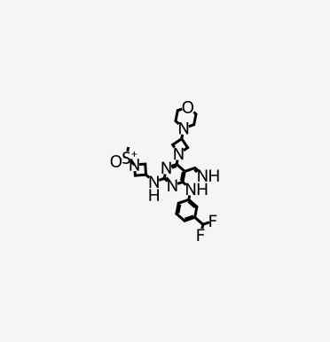 C[S+]([O-])N1CC(Nc2nc(Nc3cccc(C(F)F)c3)c(C=N)c(N3CC(N4CCOCC4)C3)n2)C1